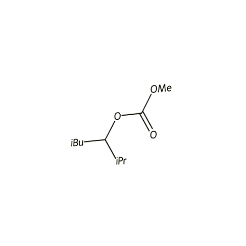 CCC(C)C(OC(=O)OC)C(C)C